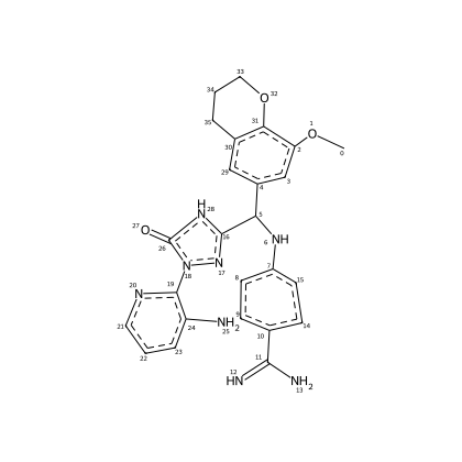 COc1cc(C(Nc2ccc(C(=N)N)cc2)c2nn(-c3ncccc3N)c(=O)[nH]2)cc2c1OCCC2